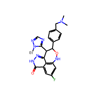 CCn1ncnc1C1c2n[nH]c(=O)c3cc(F)cc(c23)NOC1c1ccc(CN(C)C)cc1